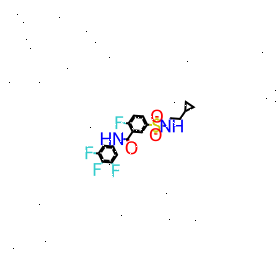 O=C(Nc1cc(F)c(F)c(F)c1)c1cc(S(=O)(=O)NCCC2CC2)ccc1F